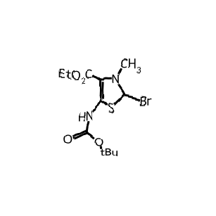 CCOC(=O)C1=C(NC(=O)OC(C)(C)C)SC(Br)N1C